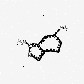 Nn1ncc2ccc([N+](=O)[O-])cc21